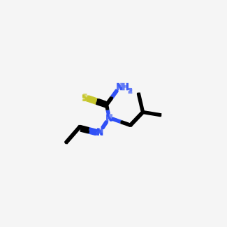 CC=NN(CC(C)C)C(N)=S